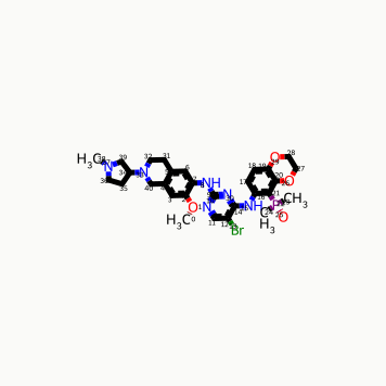 COc1cc2c(cc1Nc1ncc(Br)c(Nc3ccc4c(c3P(C)(C)=O)OCCO4)n1)CCN(C1CCN(C)C1)C2